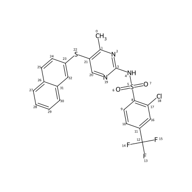 Cc1nc(NS(=O)(=O)c2ccc(C(F)(F)F)cc2Cl)ncc1Sc1ccc2ccccc2c1